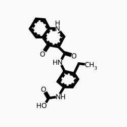 CCc1ccc(NC(=O)O)cc1NC(=O)c1c[nH]c2ccccc2c1=O